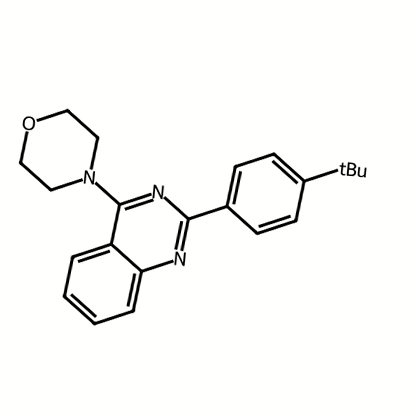 CC(C)(C)c1ccc(-c2nc(N3CCOCC3)c3ccccc3n2)cc1